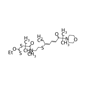 C=C/C(=C\C=C\C(=O)C(C)(C)N1CCOCC1)SCCN(C)C(=O)C(C)(C)SC(=S)OCC